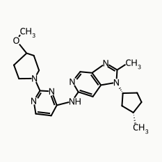 COC1CCN(c2nccc(Nc3cc4c(cn3)nc(C)n4[C@@H]3CC[C@H](C)C3)n2)CC1